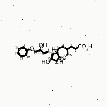 O=C(O)CCC1CC[C@@H]2[C@@H](C=C[C@@H](O)COc3ccccc3)[C@H](O)C[C@@H]2OC1